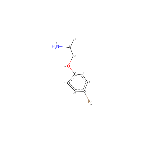 CC(N)COc1ccc(Br)cc1